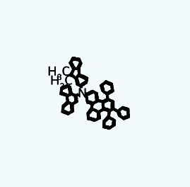 CC1(C)c2ccccc2-c2ccc(N(c3ccc4c(c3)c3ccccc3c3c(-c5ccccc5)c(-c5ccccc5)cc(-c5ccccc5)c43)c3cc4ccccc4c4ccccc34)cc21